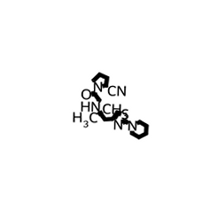 CC(C)(Cc1csc(N2CCCCC2)n1)NCC(=O)N1CCC[C@H]1C#N